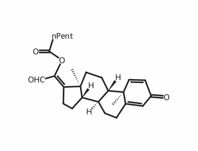 CCCCCC(=O)O/C(C=O)=C1/CC[C@H]2[C@@H]3CCC4=CC(=O)C=C[C@]4(C)[C@H]3CC[C@]12C